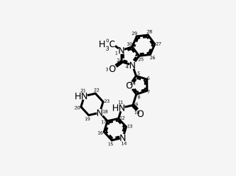 Cn1c(=O)n(-c2ccc(C(=O)Nc3cnccc3N3CCNCC3)o2)c2ccccc21